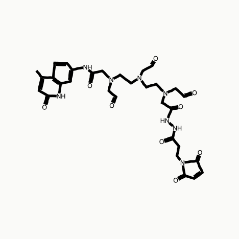 Cc1cc(=O)[nH]c2cc(NC(=O)CN(CC=O)CCN(CC=O)CCN(CC=O)CC(=O)NNC(=O)CCN3C(=O)C=CC3=O)ccc12